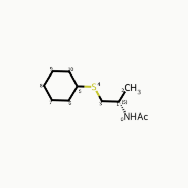 CC(=O)N[C@@H](C)CSC1CCCCC1